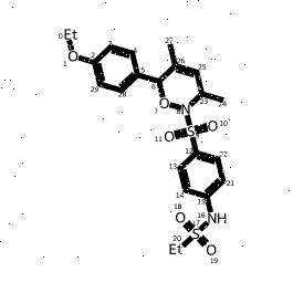 CCOc1ccc(C2ON(S(=O)(=O)c3ccc(NS(=O)(=O)CC)cc3)C(C)C=C2C)cc1